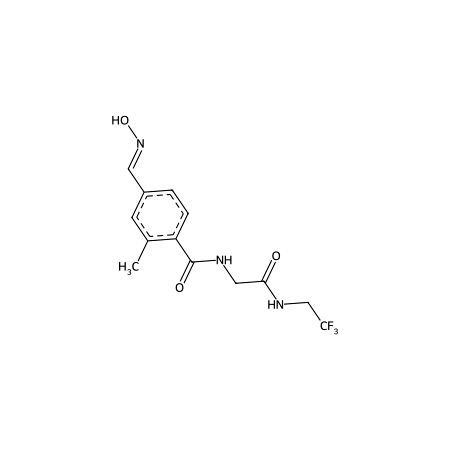 Cc1cc(C=NO)ccc1C(=O)NCC(=O)NCC(F)(F)F